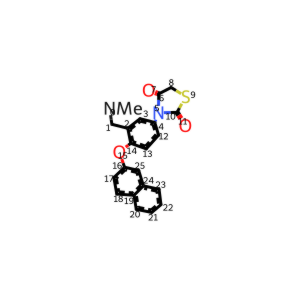 CNCc1cc(N2C(=O)CSC2=O)ccc1Oc1ccc2ccccc2c1